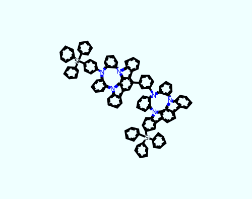 c1ccc([Si](c2ccccc2)(c2ccccc2)c2ccc(-n3c4ccccc4n4c5ccccc5c5cc(-c6cccc(-n7c8ccccc8n8c9ccccc9c9ccc%10c%11cc([Si](c%12ccccc%12)(c%12ccccc%12)c%12ccccc%12)ccc%11n(c%11ccccc%117)c%10c98)c6)c6c7ccccc7n(c7ccccc73)c6c54)cc2)cc1